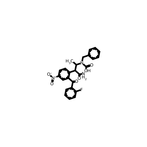 CC(C(C(N)=O)c1ccc([N+](=O)[O-])cc1C(=O)c1ccccc1F)N(Cc1ccccc1)C(=O)O